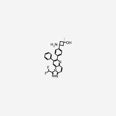 C[C@]1(O)C[C@@](N)(c2ccc(-c3nc4ccc5nnc(C(F)F)n5c4cc3-c3ccccc3)cc2)C1